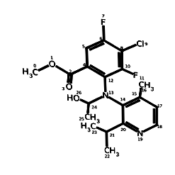 COC(=O)c1cc(F)c(Cl)c(F)c1N(c1c(C)ccnc1C(C)C)C(C)O